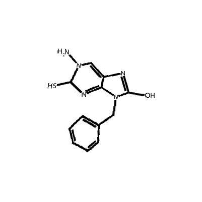 NN1C=c2nc(O)n(Cc3ccccc3)c2=NC1S